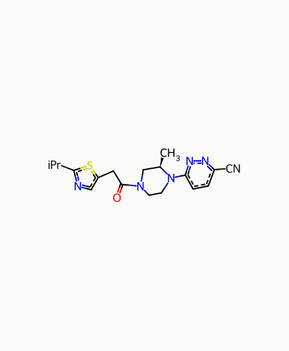 CC(C)c1ncc(CC(=O)N2CCN(c3ccc(C#N)nn3)[C@H](C)C2)s1